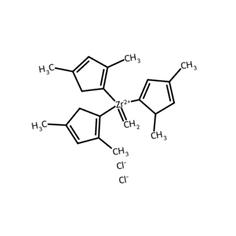 [CH2]=[Zr+2]([C]1=CC(C)=CC1C)([C]1=C(C)C=C(C)C1)[C]1=C(C)C=C(C)C1.[Cl-].[Cl-]